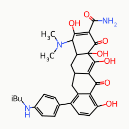 CCC(C)Nc1ccc(-c2ccc(O)c3c2CC2CC4C(N(C)C)C(O)=C(C(N)=O)C(=O)C4(O)C(O)=C2C3=O)cc1